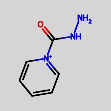 NNC(=O)[n+]1ccccc1